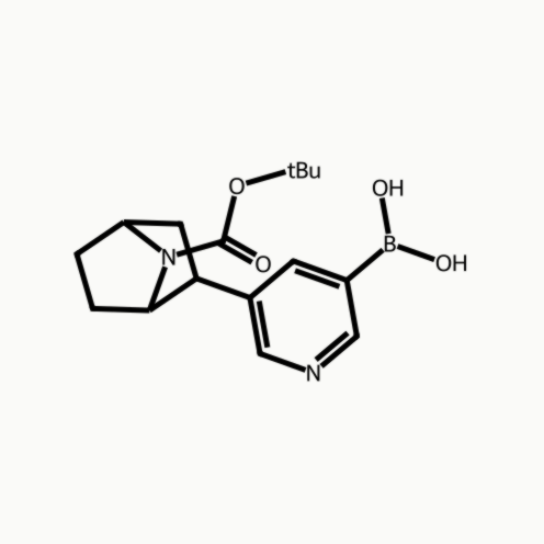 CC(C)(C)OC(=O)N1C2CCC1C(c1cncc(B(O)O)c1)C2